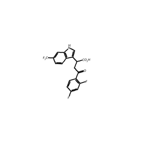 O=C(CC(C(=O)O)c1c[nH]c2cc(C(F)(F)F)ccc12)c1ccc(F)cc1F